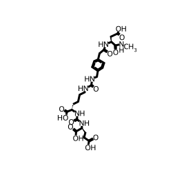 CNC(=O)[C@H](CC(=O)O)NC(=O)Cc1ccc(CNC(=O)NCCCC[C@H](NC(=O)N[C@@H](CCC(=O)O)C(=O)O)C(=O)O)cc1